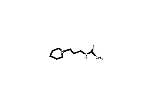 CC(I)NCCCN1CCCCC1